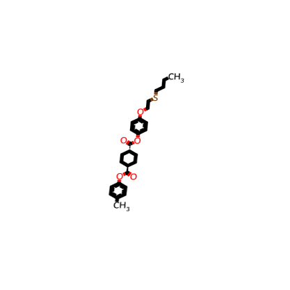 CCCCSCCOc1ccc(OC(=O)[C@H]2CC[C@H](C(=O)Oc3ccc(C)cc3)CC2)cc1